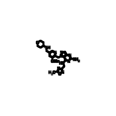 COc1cc(CNC2CCOCC2)cnc1Cn1ncc2nc(N)nc(NCc3noc(C)n3)c21